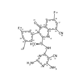 C[C@H](Nc1nc(N)nc(N)c1C#N)c1nc2c(C#N)cc(F)cc2c(=O)n1-c1cc(F)cc(F)c1